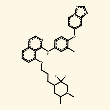 Cc1cc(Nc2ncnc3cccc(OCCCC4CC(C)N(C)CC4(F)F)c23)ccc1Oc1ccn2ncnc2c1